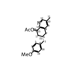 COc1ccc(C[C@H]2Cc3cc(C)cnc3[C@H](OC(C)=O)C2)cc1